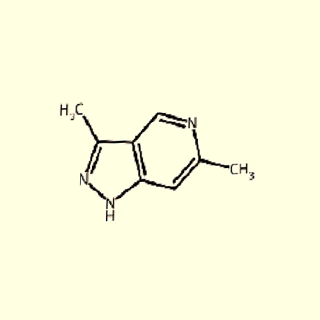 Cc1cc2[nH]nc(C)c2cn1